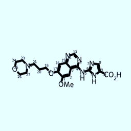 COc1cc2c(Nc3ncc(C(=O)O)[nH]3)ncnc2cc1OCCCN1CCOCC1